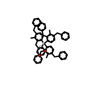 Cc1c(Cc2ccccc2)ccc([Si](Cl)(c2ccc(Cc3ccccc3)c(C)c2Cc2ccccc2)c2ccc(Cc3ccccc3)c(C)c2Cc2ccccc2)c1Cc1ccccc1